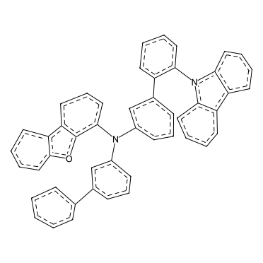 c1ccc(-c2cccc(N(c3cccc(-c4ccccc4-n4c5ccccc5c5ccccc54)c3)c3cccc4c3oc3ccccc34)c2)cc1